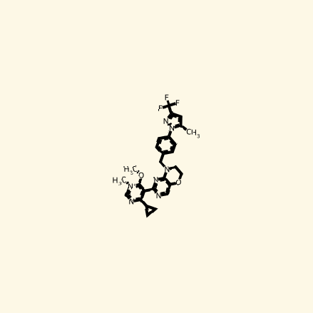 COc1c(-c2ncc3c(n2)N(Cc2ccc(-n4nc(C(F)(F)F)cc4C)cc2)CCO3)c(C2CC2)nc[n+]1C